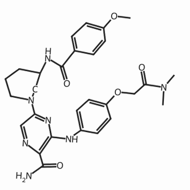 COc1ccc(C(=O)NC2CCCN(c3cnc(C(N)=O)c(Nc4ccc(OCC(=O)N(C)C)cc4)n3)C2)cc1